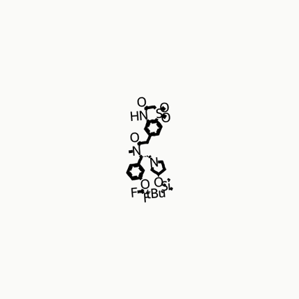 CN(C(=O)Cc1ccc2c(c1)NC(=O)CS2(=O)=O)[C@H](CN1CC[C@H](O[Si](C)(C)C(C)(C)C)C1)c1cccc(OC(F)F)c1